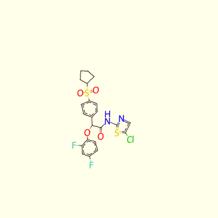 O=C(Nc1ncc(Cl)s1)C(Oc1ccc(F)cc1F)c1ccc(S(=O)(=O)C2CCCC2)cc1